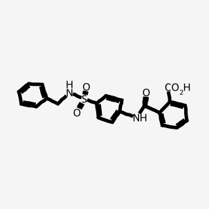 O=C(O)c1ccccc1C(=O)Nc1ccc(S(=O)(=O)NCc2ccccc2)cc1